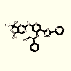 CC1(C)OB(O)c2cnc(Nc3cc(N[C@H](CO)c4ccccc4)c(-c4nc(-c5ccccn5)no4)cn3)nc21